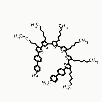 CCCCCCc1cc(-c2sc(-c3sc(-c4sc(-c5sc(-c6sc(-c7ccc(-c8ccc(S)cc8)cc7)cc6CCCCCC)cc5CCCCCC)cc4CCCCCC)cc3CCCCCC)cc2CCCCCC)sc1-c1ccc(-c2ccc(C)cc2)cc1